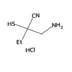 CCC(S)(C#N)CN.Cl